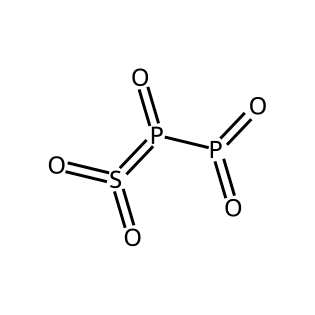 O=P(=O)P(=O)=S(=O)=O